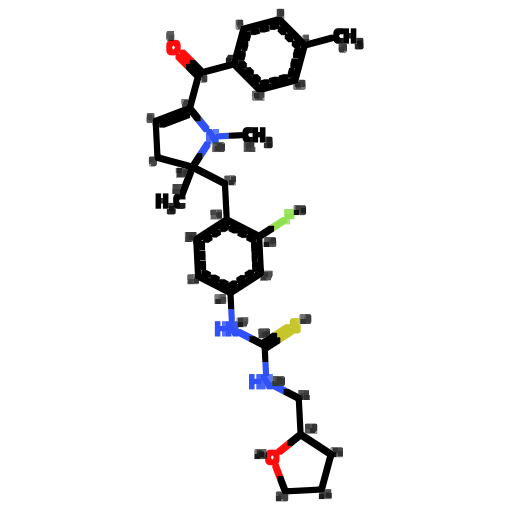 Cc1ccc(C(=O)C2=CCC(C)(Cc3ccc(NC(=S)NCC4CCCO4)cc3F)N2C)cc1